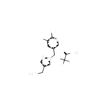 Cc1ncc(Cn2cc(CN)cn2)cc1F.O=C(O)C(F)(F)F